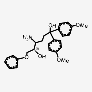 COc1ccc(C(O)(CCC(N)[C@@H](O)COc2ccccc2)c2ccc(OC)cc2)cc1